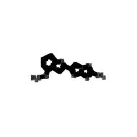 COc1cccc2oc(-c3cn4nc(C)sc4n3)cc12